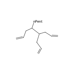 C=CC[C](CC=C)C(CC=C)CCCCC